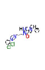 Cc1c(C(=O)NCCCCN2CCN(c3cccc(Cl)c3Cl)CC2)cc(-c2ccccc2)n1C